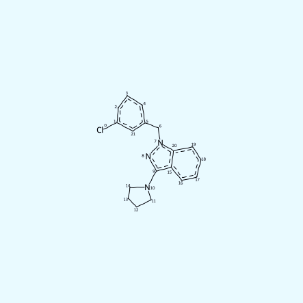 Clc1cccc(Cn2nc(N3CCCC3)c3ccccc32)c1